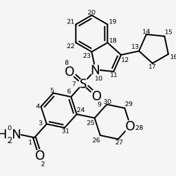 NC(=O)c1ccc(S(=O)(=O)n2cc(C3CCCC3)c3ccccc32)c(C2CCOCC2)c1